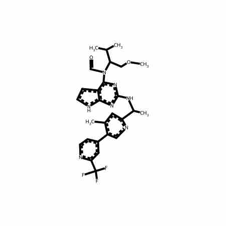 COCC(C(C)C)N(C=O)c1nc(NC(C)c2cc(C)c(-c3ccnc(C(F)(F)F)c3)cn2)nc2[nH]ccc12